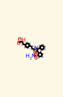 NS(=O)(=O)c1ccccc1-c1oc(CCc2ccc(CCC(=O)O)cc2)nc1-c1ccccc1